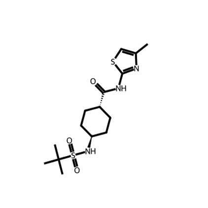 Cc1csc(NC(=O)[C@H]2CC[C@H](NS(=O)(=O)C(C)(C)C)CC2)n1